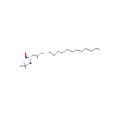 CCCCCCCCCCCCSCC(O)CN1C(=O)NC(C)(C)C1=O